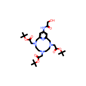 CC(C)(C)OC(=O)CN1CCN(CC(=O)OC(C)(C)C)Cc2cc(NC(=O)CO)cc(n2)CN(CC(=O)OC(C)(C)C)CC1